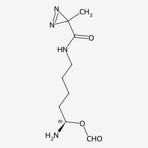 CC1(C(=O)NCCCC[C@H](N)OC=O)N=N1